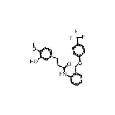 COc1ccc(C=CC(=O)Nc2ccccc2COc2ccc(C(F)(F)F)cc2)cc1O